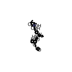 CCC1(C)CC(C)(CC)/C(=C(\O)C(=O)NCc2ccc(-n3nc(C(C)(C)C)cc3NC(=O)Nc3ccc(OCCN4CCOCC4)c4ccccc34)cc2)N(C)C1=O